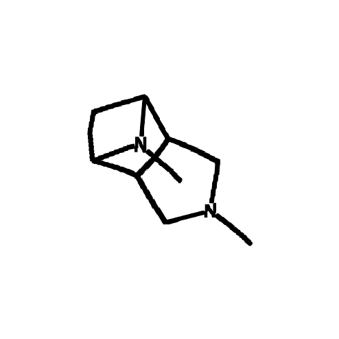 CN1CC2C(C1)C1CC2N1C